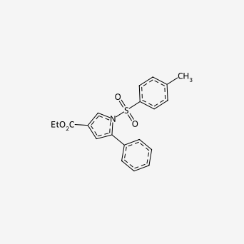 CCOC(=O)c1cc(-c2ccccc2)n(S(=O)(=O)c2ccc(C)cc2)c1